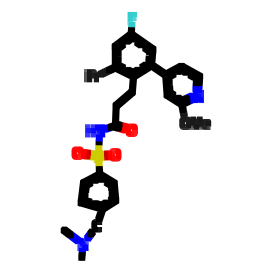 COc1cc(-c2cc(F)cc(C(C)C)c2CCC(=O)NS(=O)(=O)c2ccc(CN(C)C)cc2)ccn1